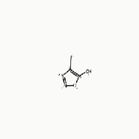 Cc1nnoc1C#N